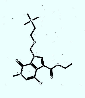 CCOC(=O)c1cn(COCC[Si](C)(C)C)c2c(=O)n(C)cc(Br)c12